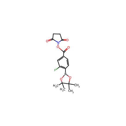 CC1(C)OB(c2ccc(C(=O)ON3C(=O)CCC3=O)cc2F)OC1(C)C